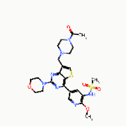 COc1ncc(-c2nc(N3CCOCC3)nc3c(CN4CCN(C(C)=O)CC4)csc23)cc1NS(C)(=O)=O